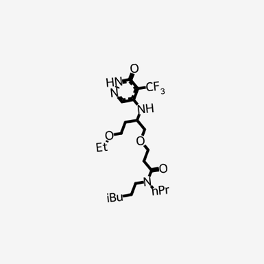 CCCN(CCC(C)CC)C(=O)CCOCC(CCOCC)Nc1cn[nH]c(=O)c1C(F)(F)F